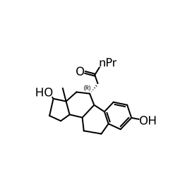 CCCC(=O)C[C@H]1CC2(C)C(O)CCC2C2CCc3cc(O)ccc3C21